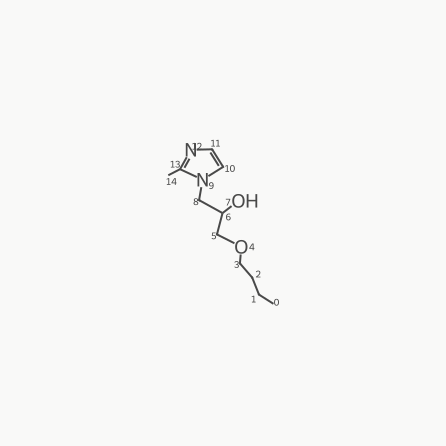 CCCCOCC(O)Cn1ccnc1C